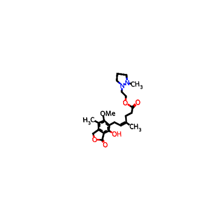 COc1c(C)c2c(c(O)c1CC=C(C)CCC(=O)OCCN1CCCN1C)C(=O)OC2